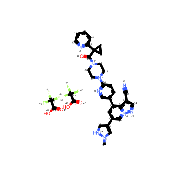 CN1C=C(c2cc(-c3ccc(N4CCN(C(=O)C5(c6ccccn6)CC5)CC4)nc3)c3c(C#N)cnn3c2)CN1.O=C(O)C(F)(F)F.O=C(O)C(F)(F)F